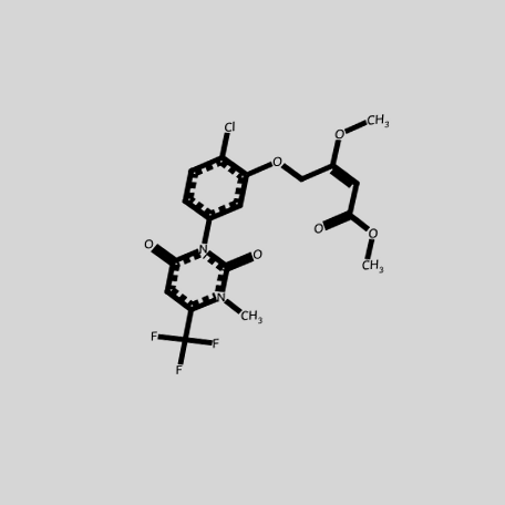 COC(=O)/C=C(\COc1cc(-n2c(=O)cc(C(F)(F)F)n(C)c2=O)ccc1Cl)OC